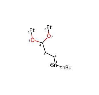 CCC[CH2][Sn][CH2]CC(OCC)OCC